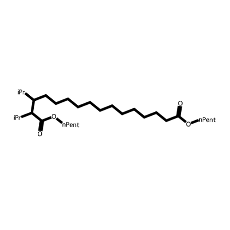 CCCCCOC(=O)CCCCCCCCCCCCC(C(C)C)C(C(=O)OCCCCC)C(C)C